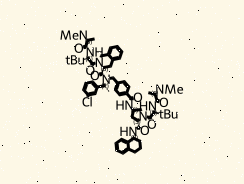 CN[C@@H](C)C(=O)N[C@H](C(=O)N1C[C@@H](NC(=O)c2ccc(CN(C(=O)[C@@H]3Cc4ccccc4CN3C(=O)[C@@H](NC(=O)[C@H](C)NC)C(C)(C)C)[C@H](C)c3cccc(Cl)c3)cc2)C[C@H]1C(=O)N[C@@H]1CCCc2ccccc21)C(C)(C)C